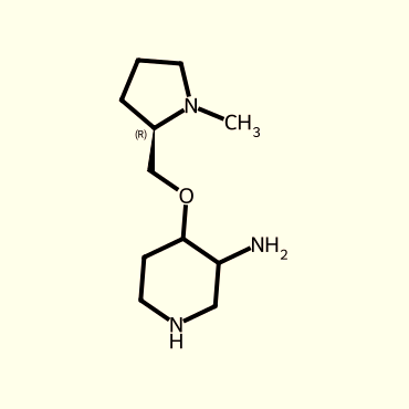 CN1CCC[C@@H]1COC1CCNCC1N